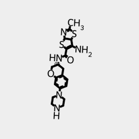 CC1=NC2SC(C(=O)N[C@H]3COc4cc(N5CCNCC5)ccc4C3)=C(N)C2S1